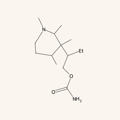 CCC(COC(N)=O)C1(C)C(C)CCN(C)C1C